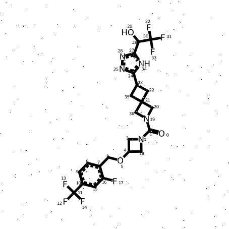 O=C(N1CC(OCc2ccc(C(F)(F)F)cc2F)C1)N1CC2(CC(c3nnc(C(O)C(F)(F)F)[nH]3)C2)C1